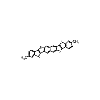 Cc1ccc2c(c1)sc1c3cc4cc5sc6c7ccc(C)cc7sc6c5cc4cc3sc21